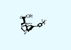 O=C(O)C1=CN2CCOc3ccc(-c4ccc(C(F)(F)F)cc4)cc3C2N1